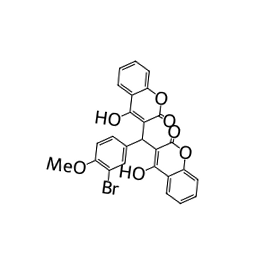 COc1ccc(C(c2c(O)c3ccccc3oc2=O)c2c(O)c3ccccc3oc2=O)cc1Br